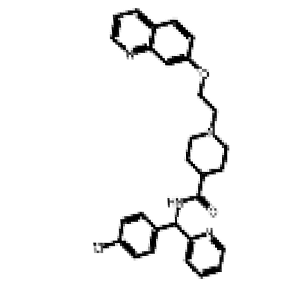 O=C(N[C@H](c1ccc(Cl)cc1)c1ccccn1)C1CCN(CCOc2ccc3cccnc3c2)CC1